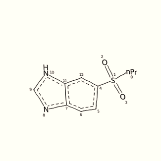 CCCS(=O)(=O)c1ccc2nc[nH]c2c1